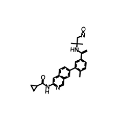 C=C(NC(C)(C)CN=O)c1ccc(C)c(-c2ccc3cc(NC(=O)C4CC4)ncc3c2)c1